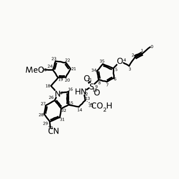 CC#CCOc1ccc(S(=O)(=O)N[C@@H](Cc2cn(Cc3ccccc3OC)c3ccc(C#N)cc23)C(=O)O)cc1